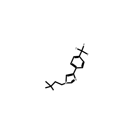 CC(C)(C)CCn1cnc(-c2ccc(C(F)(F)F)cc2)c1